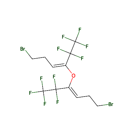 FC(F)(F)C(F)(F)C(=CCCBr)OC(=CCCBr)C(F)(F)C(F)(F)F